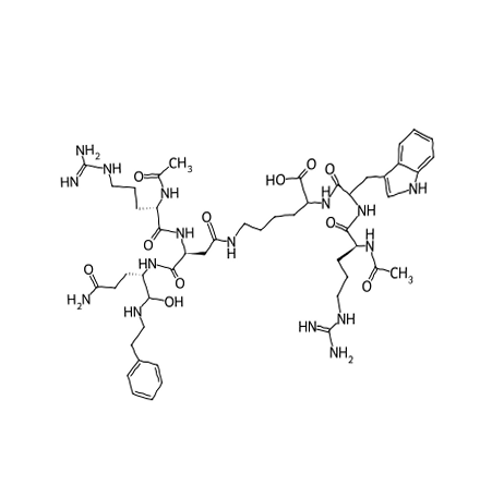 CC(=O)N[C@@H](CCCNC(=N)N)C(=O)NC(Cc1c[nH]c2ccccc12)C(=O)NC(CCCCNC(=O)C[C@H](NC(=O)[C@H](CCCNC(=N)N)NC(C)=O)C(=O)N[C@@H](CCC(N)=O)C(O)NCCc1ccccc1)C(=O)O